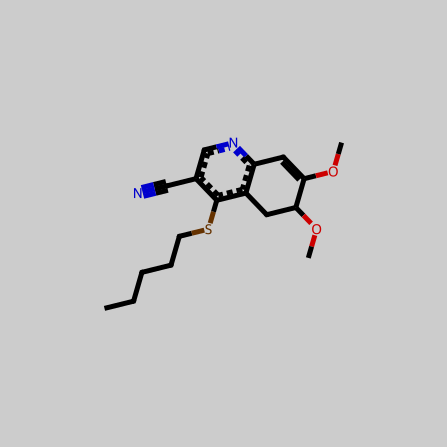 CCCCCSc1c(C#N)cnc2c1CC(OC)C(OC)=C2